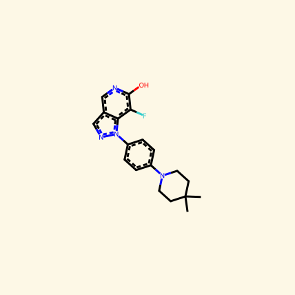 CC1(C)CCN(c2ccc(-n3ncc4cnc(O)c(F)c43)cc2)CC1